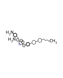 CCCCCC1CCC(C2CCC(c3ccc(OC(=O)/C=C\C(=O)OCc4ccc(N)cc4N)cc3)CC2)CC1